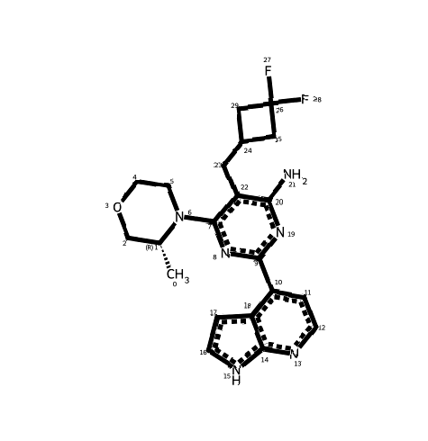 C[C@@H]1COCCN1c1nc(-c2ccnc3[nH]ccc23)nc(N)c1CC1CC(F)(F)C1